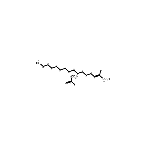 C=C(C)C(=O)O.CC(=CCCCCCCCCCCCCO)C(=O)O